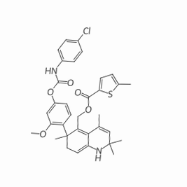 COc1cc(OC(=O)Nc2ccc(Cl)cc2)ccc1C1(C)CC=C2NC(C)(C)C=C(C)C2=C1COC(=O)c1ccc(C)s1